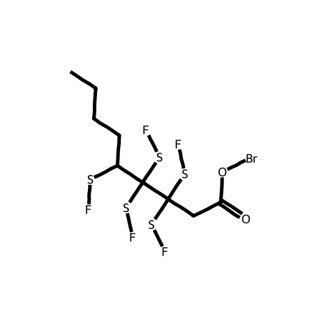 CCCCC(SF)C(SF)(SF)C(CC(=O)OBr)(SF)SF